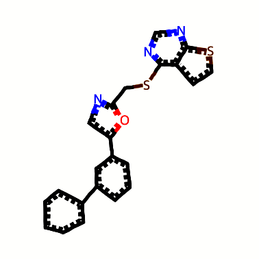 c1ccc(-c2cccc(-c3cnc(CSc4ncnc5sccc45)o3)c2)cc1